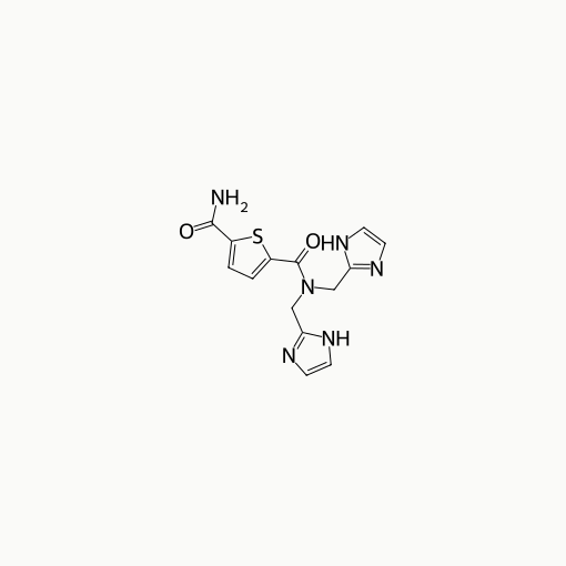 NC(=O)c1ccc(C(=O)N(Cc2ncc[nH]2)Cc2ncc[nH]2)s1